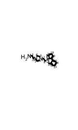 NCCN1CCN(CCSCc2ccccc2-c2cccnc2)CC1